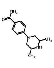 CC1CN(c2ccc(C(N)=O)cc2)CC(C)N1